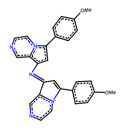 COc1ccc(C2=C/C(=N\c3cc(-c4ccc(OC)cc4)n4ccncc34)c3cncc[n+]32)cc1